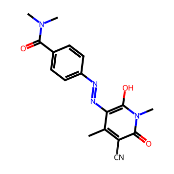 Cc1c(/N=N/c2ccc(C(=O)N(C)C)cc2)c(O)n(C)c(=O)c1C#N